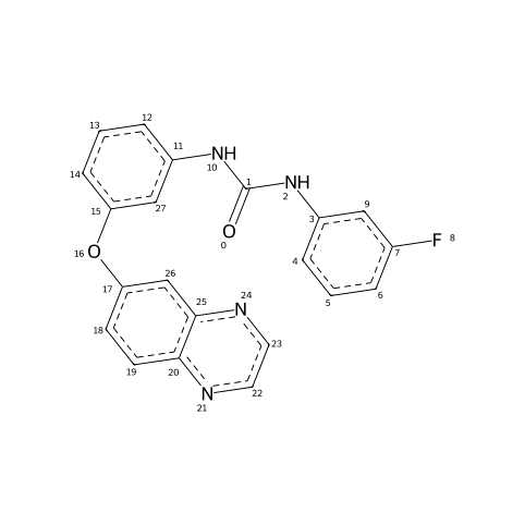 O=C(Nc1cccc(F)c1)Nc1cccc(Oc2ccc3nccnc3c2)c1